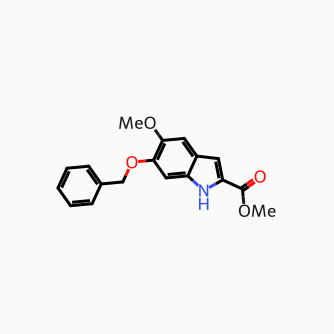 COC(=O)c1cc2cc(OC)c(OCc3ccccc3)cc2[nH]1